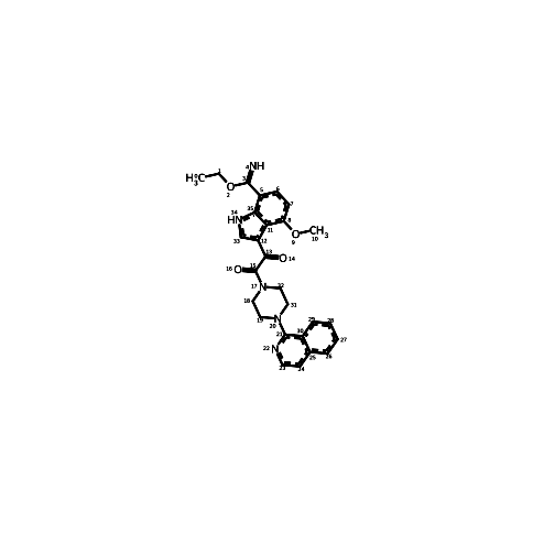 CCOC(=N)c1ccc(OC)c2c(C(=O)C(=O)N3CCN(c4nccc5ccccc45)CC3)c[nH]c12